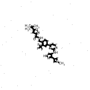 CN1CC(c2n[nH]cc2Nc2nccc(-c3ccc(CNC(=O)c4cc(C(C)(C)C)on4)c(C(F)(F)F)c3)n2)C1